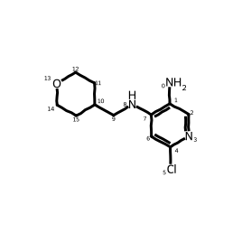 Nc1cnc(Cl)cc1NCC1CCOCC1